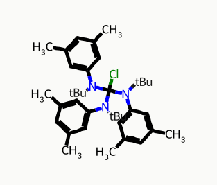 Cc1cc(C)cc(N(C(C)(C)C)C(Cl)(N(c2cc(C)cc(C)c2)C(C)(C)C)N(c2cc(C)cc(C)c2)C(C)(C)C)c1